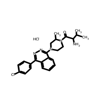 CC(C)C(N)C(=O)N1CCN(c2nnc(-c3ccc(Cl)cc3)c3ccccc23)CC1C.Cl